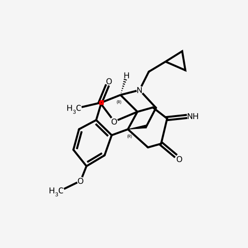 COc1ccc2c(c1)[C@]13CCN(CC4CC4)[C@H](C2)C1(OC(C)=O)CC(=N)C(=O)C3